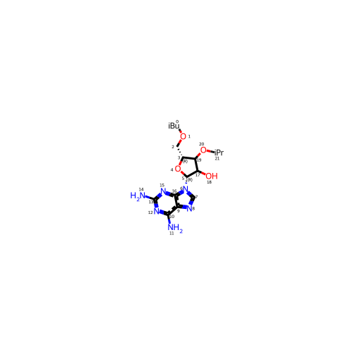 CCC(C)OC[C@H]1O[C@@H](n2cnc3c(N)nc(N)nc32)C(O)C1OC(C)C